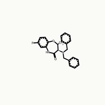 O=C1Nc2cc(F)ccc2O[C@@H](C(F)(F)F)[C@H]1N(Cc1ccccc1)Cc1ccccc1